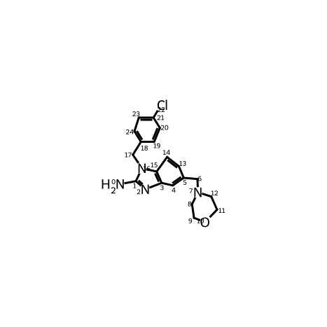 Nc1nc2cc(CN3CCOCC3)ccc2n1Cc1ccc(Cl)cc1